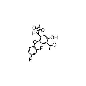 CC(=O)c1cc(Oc2ccc(F)cc2F)c(NS(C)(=O)=O)cc1O